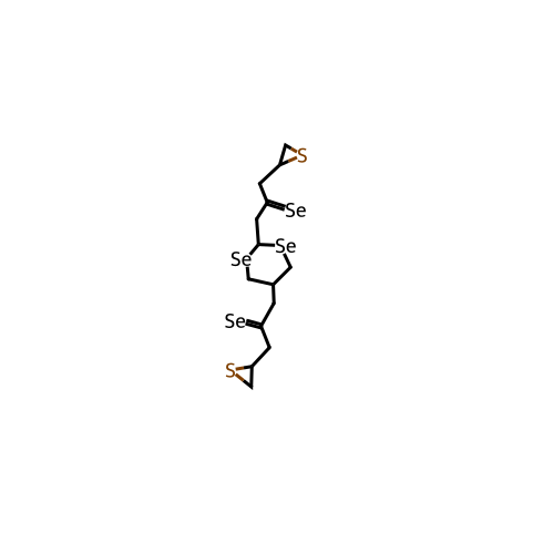 [Se]=C(CC1C[Se]C(CC(=[Se])CC2CS2)[Se]C1)CC1CS1